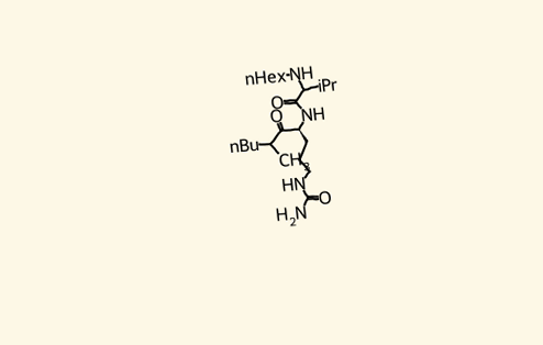 CCCCCCNC(C(=O)N[C@@H](CCCNC(N)=O)C(=O)C(C)CCCC)C(C)C